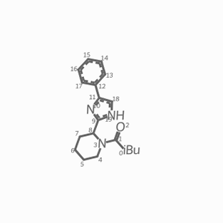 CCC(C)C(=O)N1CCCCC1c1nc(-c2ccccc2)c[nH]1